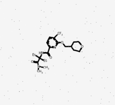 CCC(CC)(NC(=O)c1ccc(C(F)(F)F)c(OCC2CCOCC2)n1)C(=O)N(C)C